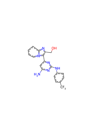 Nc1cc(-c2c(CO)nc3ccccn23)nc(Nc2ccc(C(F)(F)F)cc2)n1